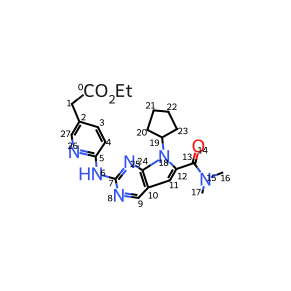 CCOC(=O)Cc1ccc(Nc2ncc3cc(C(=O)N(C)C)n(C4CCCC4)c3n2)nc1